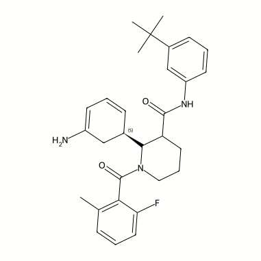 Cc1cccc(F)c1C(=O)N1CCCC(C(=O)Nc2cccc(C(C)(C)C)c2)C1[C@@H]1C=CC=C(N)C1